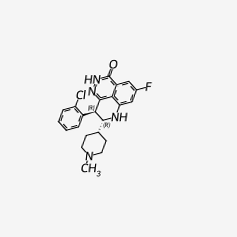 CN1CCC([C@H]2Nc3cc(F)cc4c(=O)[nH]nc(c34)[C@@H]2c2ccccc2Cl)CC1